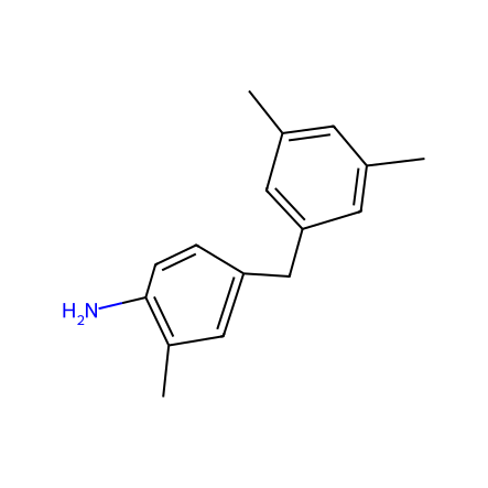 Cc1cc(C)cc(Cc2ccc(N)c(C)c2)c1